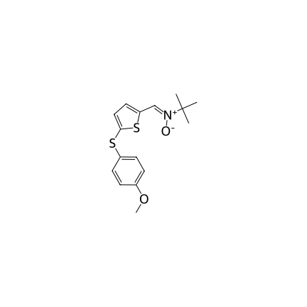 COc1ccc(Sc2ccc(C=[N+]([O-])C(C)(C)C)s2)cc1